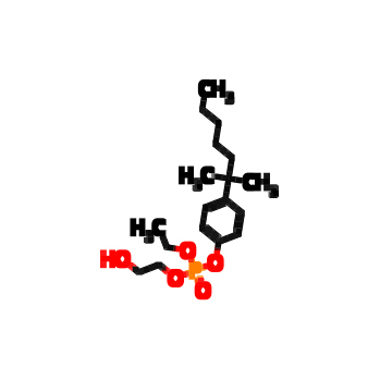 CCCCCC(C)(C)c1ccc(OP(=O)(OCC)OCCO)cc1